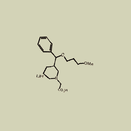 COCCCOC(c1ccccc1)C1CCCN(CC(=O)O)C1.[LiH]